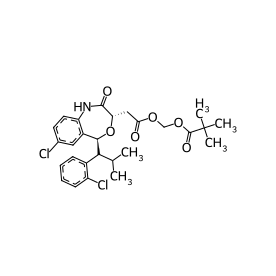 CC(C)C(c1ccccc1Cl)[C@@H]1O[C@@H](CC(=O)OCOC(=O)C(C)(C)C)C(=O)Nc2ccc(Cl)cc21